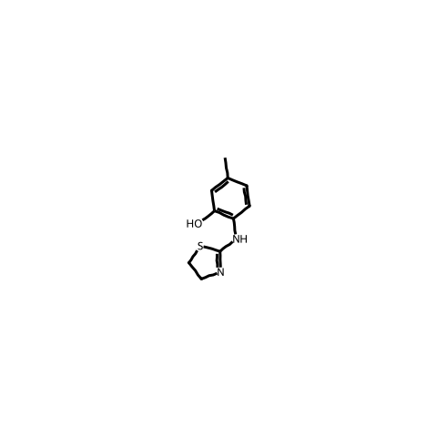 Cc1ccc(NC2=NCCS2)c(O)c1